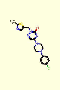 O=c1nc(N2CCN(c3ccc(Cl)cc3)CC2)cnn1Cc1cnc(C(F)(F)F)s1